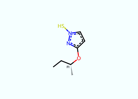 CC[C@@H](C)Oc1ccn(S)n1